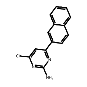 Nc1nc(Cl)cc(-c2ccc3ccccc3c2)n1